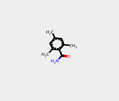 Cc1cc(C)c(C(N)=O)c(C)c1